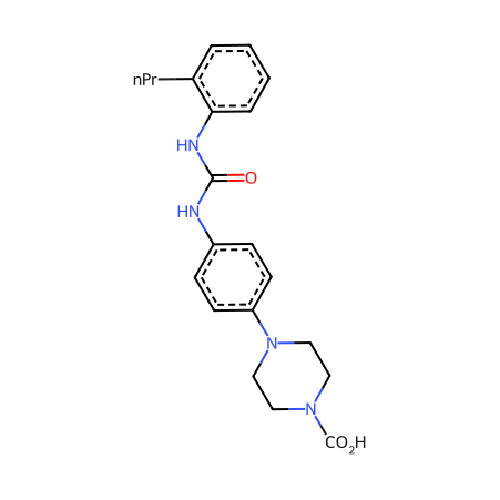 CCCc1ccccc1NC(=O)Nc1ccc(N2CCN(C(=O)O)CC2)cc1